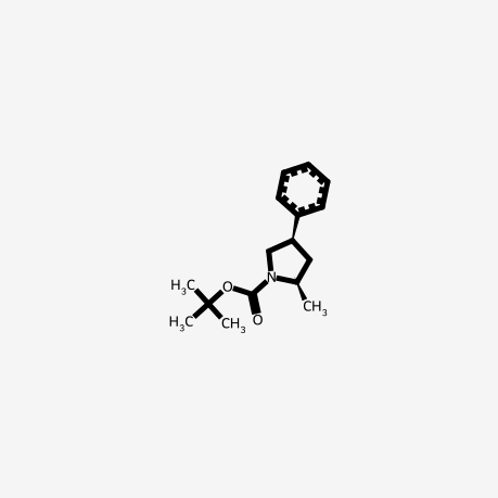 C[C@@H]1C[C@H](c2ccccc2)CN1C(=O)OC(C)(C)C